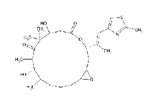 C/C(=C\c1csc(C)n1)[C@@H]1CC2OC2CCCC(C)[C@H](O)C(C)C(=O)C(C)(C)C(O)CC(=O)O1